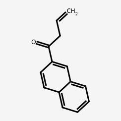 C=CCC(=O)c1ccc2ccccc2c1